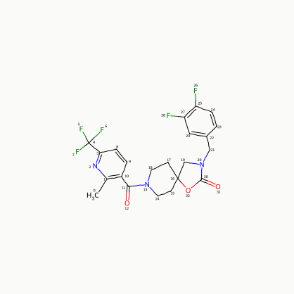 Cc1nc(C(F)(F)F)ccc1C(=O)N1CCC2(CC1)CN(Cc1ccc(F)c(F)c1)C(=O)O2